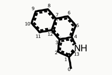 Cc1cc2c(ccc3ccccc32)[nH]1